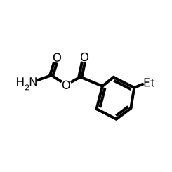 CCc1cccc(C(=O)OC(N)=O)c1